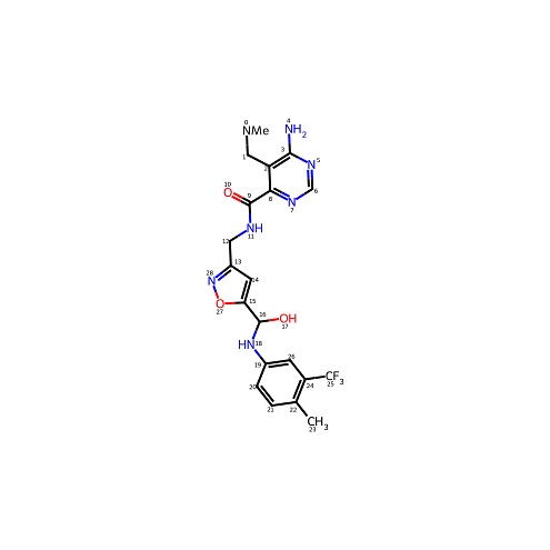 CNCc1c(N)ncnc1C(=O)NCc1cc(C(O)Nc2ccc(C)c(C(F)(F)F)c2)on1